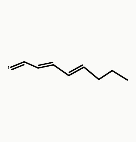 [C]=CC=CC=CCCC